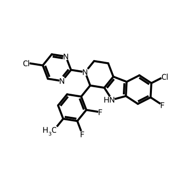 Cc1ccc(C2c3[nH]c4cc(F)c(Cl)cc4c3CCN2c2ncc(Cl)cn2)c(F)c1F